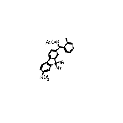 CCCC1(CCC)c2cc(/C(=N\OC(C)=O)c3ccccc3C)ccc2-c2ccc([N+](=O)[O-])cc21